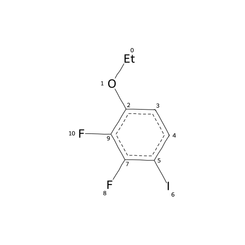 CCOc1ccc(I)c(F)c1F